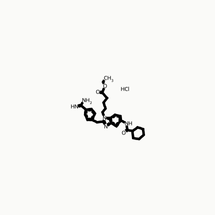 CCOC(=O)CCCCn1c(Cc2ccc(C(=N)N)cc2)nc2cc(NC(=O)C3CCCCC3)ccc21.Cl